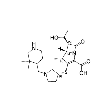 CC(O)[C@H]1C(=O)N2C(C(=O)O)=C(S[C@@H]3CCN(CC4CCNCC4(C)C)C3)[C@H](C)[C@H]12